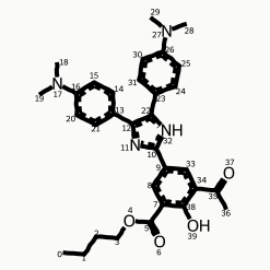 CCCCOC(=O)c1cc(-c2nc(-c3ccc(N(C)C)cc3)c(-c3ccc(N(C)C)cc3)[nH]2)cc(C(C)=O)c1O